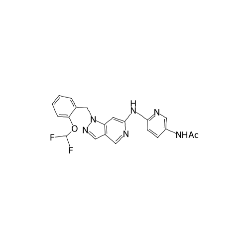 CC(=O)Nc1ccc(Nc2cc3c(cn2)cnn3Cc2ccccc2OC(F)F)nc1